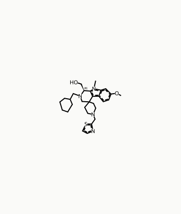 COc1ccc2c3c(n(C)c2c1)[C@H](CO)N(CC1CCCCC1)CC31CCN(Cc2nccs2)CC1